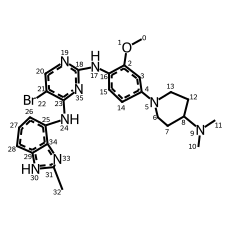 COc1cc(N2CCC(N(C)C)CC2)ccc1Nc1ncc(Br)c(Nc2cccc3[nH]c(C)nc23)n1